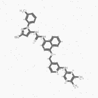 Cc1cccc(-n2nc(C(C)(C)C)cc2NC(=O)Nc2ccc(OCc3ccnc(Nc4cnc(C)c(C)n4)c3)c3ccccc23)c1